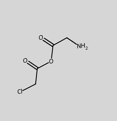 NCC(=O)OC(=O)CCl